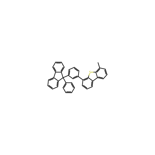 Cc1cccc2c1sc1c(-c3cccc(C4(c5ccccc5)c5ccccc5-c5ccccc54)c3)cccc12